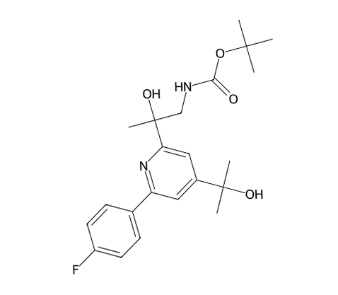 CC(C)(C)OC(=O)NCC(C)(O)c1cc(C(C)(C)O)cc(-c2ccc(F)cc2)n1